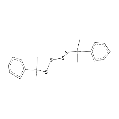 CC(C)(SSSSC(C)(C)c1ccccc1)c1ccccc1